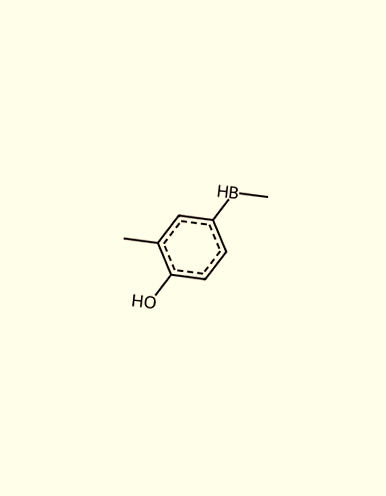 CBc1ccc(O)c(C)c1